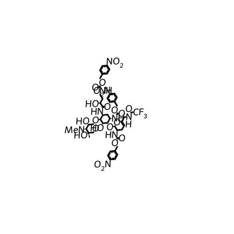 CN[C@@H]1[C@@H](O)[C@@H](O[C@@H]2[C@@H](O)[C@H](O[C@H]3OC(CNC(=O)C(F)(F)F)=CC[C@H]3NC(=O)OCc3ccc([N+](=O)[O-])cc3)[C@@H](NC(=O)OCc3ccc([N+](=O)[O-])cc3)C[C@H]2NC(=O)[C@@H](O)CCNC(=O)OCc2ccc([N+](=O)[O-])cc2)OC[C@]1(C)O